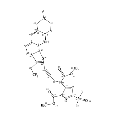 CN1CC[C@@H](Nc2cccc3c(CC(F)(F)F)c(C#CCN(C(=O)OC(C)(C)C)c4cc(P(C)(C)=O)nn4C(=O)OC(C)(C)C)sc23)[C@@H](F)C1